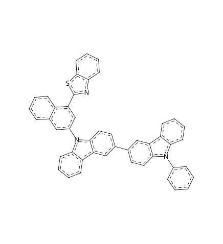 c1ccc(-n2c3ccccc3c3cc(-c4ccc5c(c4)c4ccccc4n5-c4cc(-c5nc6ccccc6s5)c5ccccc5c4)ccc32)cc1